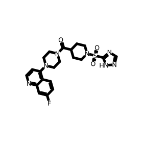 O=C(C1CCN(S(=O)(=O)c2ncn[nH]2)CC1)N1CCN(c2ccnc3cc(F)ccc23)CC1